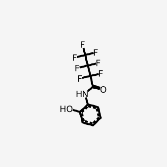 O=C(Nc1ccccc1O)C(F)(F)C(F)(F)C(F)(F)F